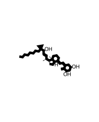 C=C1/C(=C\C=C2/CCC[C@]3(C)[C@@H]([C@H](C)/C=C/[C@H](O)C4(CCCCCCCC)CC4)CC[C@@H]23)C[C@@H](O)C[C@@H]1O